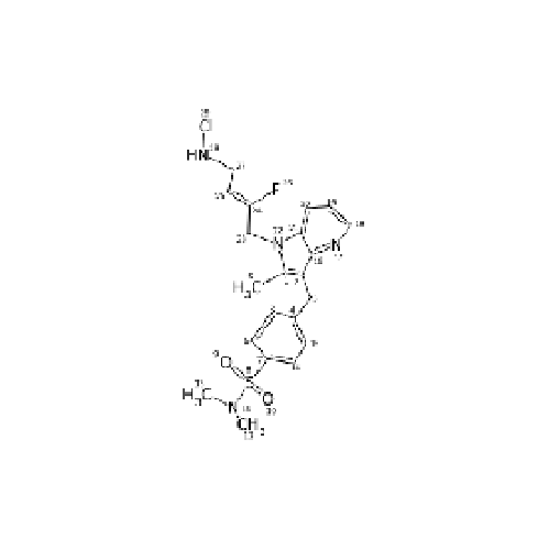 Cc1c(Cc2ccc(S(=O)(=O)N(C)C)cc2)c2ncccc2n1C/C(F)=C/CNCl